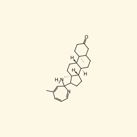 CC1=CC(N)(C2CC[C@H]3[C@@H]4CCC5CC(=O)CC[C@]5(C)[C@H]4CC[C@]23C)N=CC=C1